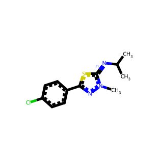 CC(C)/N=c1/sc(-c2ccc(Cl)cc2)nn1C